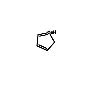 C1=C[CH2][GeH]=[CH]1